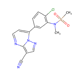 CN(c1cc(-c2ccnc3c(C#N)cnn23)ccc1Cl)S(C)(=O)=O